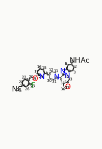 CC(=O)Nc1ccc2c(c1)nc(CN1CCC(c3cccc(OCc4ccc(C#N)cc4F)n3)CC1)n2CC1CCO1